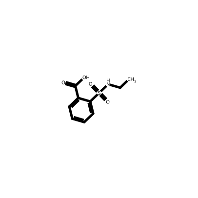 CCNS(=O)(=O)c1ccccc1C(=O)O